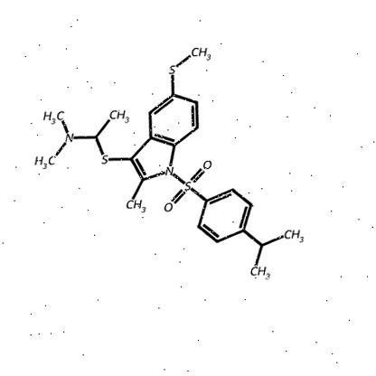 CSc1ccc2c(c1)c(SC(C)N(C)C)c(C)n2S(=O)(=O)c1ccc(C(C)C)cc1